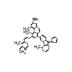 C/C=C\N=C/CC(/C=C\Cc1cc(C2=CC3C4=C(CC=CCC4C)N(c4ccccc4)C3C=C2)c2ccc3cc(C(C)(C)C)cc(C)c3c2c1C)=C/C